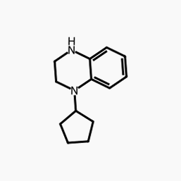 c1ccc2c(c1)NCCN2C1CCCC1